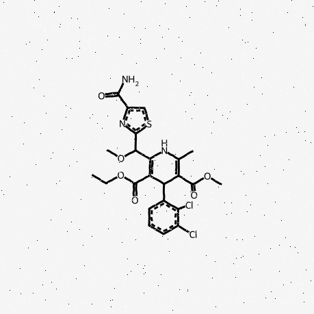 CCOC(=O)C1=C(C(OC)c2nc(C(N)=O)cs2)NC(C)=C(C(=O)OC)C1c1cccc(Cl)c1Cl